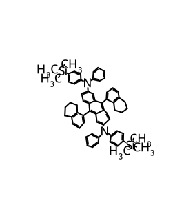 C[Si](C)(C)c1ccc(N(c2ccccc2)c2ccc3c(-c4cccc5c4CCCC5)c4cc(N(c5ccccc5)c5ccc([Si](C)(C)C)cc5)ccc4c(-c4cccc5c4CCCC5)c3c2)cc1